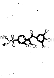 CCCN(CCC)S(=O)(=O)c1ccc2c(C(=O)c3cc(Br)c(O)c(Br)c3)c(CC)oc2c1